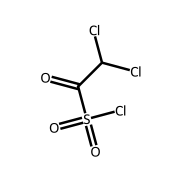 O=C(C(Cl)Cl)S(=O)(=O)Cl